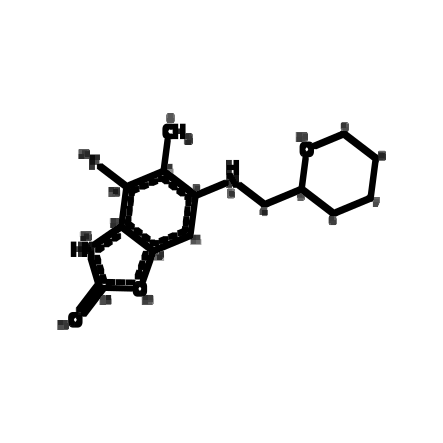 Cc1c(NCC2CCCCO2)cc2oc(=O)[nH]c2c1F